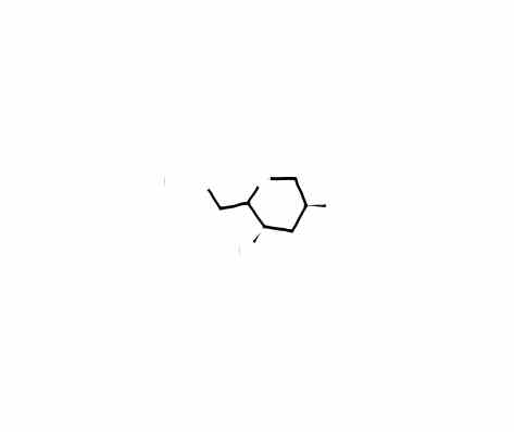 CCOC(=O)CC1OC[C@@H](O)[C@H](O)[C@H]1O